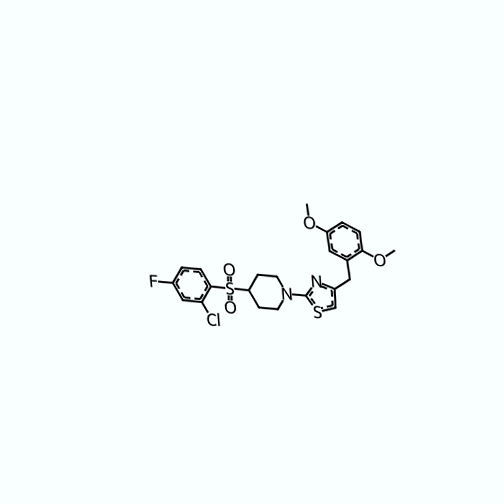 COc1ccc(OC)c(Cc2csc(N3CCC(S(=O)(=O)c4ccc(F)cc4Cl)CC3)n2)c1